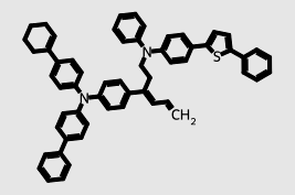 C=C/C=C(\CCN(c1ccccc1)c1ccc(-c2ccc(-c3ccccc3)s2)cc1)c1ccc(N(c2ccc(C3=CCCCC3)cc2)c2ccc(-c3ccccc3)cc2)cc1